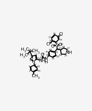 Cc1ccc(-n2nc(C(C)(C)C)cc2NC(=O)Nc2ccc(C(C3CCNCC3)S(=O)(=O)c3cc(Cl)ccc3Cl)cc2)cc1